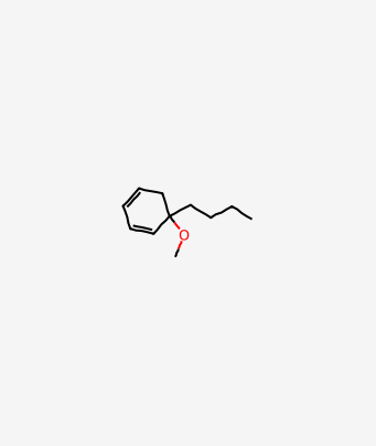 CCCCC1(OC)C=CC=CC1